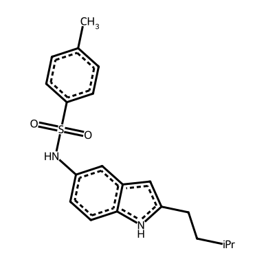 Cc1ccc(S(=O)(=O)Nc2ccc3[nH]c(CCC(C)C)cc3c2)cc1